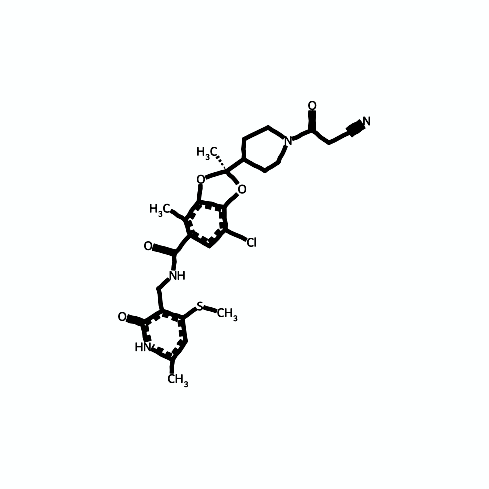 CSc1cc(C)[nH]c(=O)c1CNC(=O)c1cc(Cl)c2c(c1C)O[C@@](C)(C1CCN(C(=O)CC#N)CC1)O2